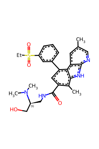 CCS(=O)(=O)c1cccc(-c2cc(C(=O)NC[C@@H](CO)N(C)C)c(C)c3[nH]c4ncc(C)cc4c23)c1